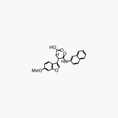 COc1ccc2c(C(C[PH](=O)O)C(=O)Nc3ccc4ccccc4c3)coc2c1